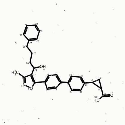 Cc1noc(-c2ccc(-c3ccc(C4CC4C(=O)O)cc3)cc2)c1C(O)CCCc1ccccc1